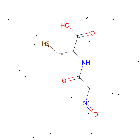 O=NCC(=O)N[C@H](CS)C(=O)O